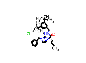 CCCC[C@@H](C(=O)NCc1cc(C(C)(C)C)cc(C(C)(C)C)c1)n1cc[n+](Cc2ccccc2)c1.[Cl-]